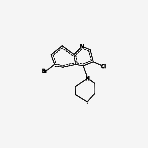 Clc1cnc2ccc(Br)cc2c1N1CC[CH]CC1